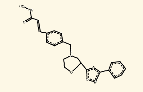 O=C(C=Cc1ccc(CN2CCOC(c3nc(-c4ccccc4)no3)C2)cc1)NO